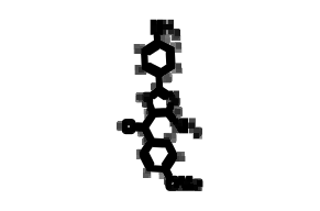 COc1ccc(C(=O)c2sc(-c3ccc(N)cc3)nc2N)cc1